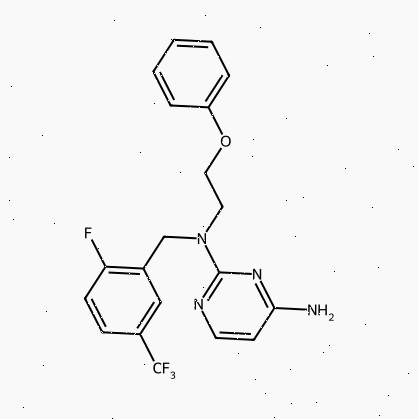 Nc1ccnc(N(CCOc2ccccc2)Cc2cc(C(F)(F)F)ccc2F)n1